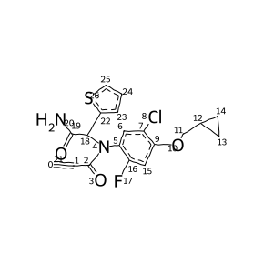 C#CC(=O)N(c1cc(Cl)c(OCC2CC2)cc1F)C(C(N)=O)c1cccs1